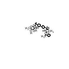 Cc1nsc(-c2ccc(-c3ccc(C4(C(=O)OC5OC(C)C(O)C(O)C5O)CC4)cc3)cc2)c1NC(=O)O[C@H](C)c1ccccc1